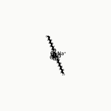 CCCCCCCCCOC(=O)CC(C(=O)OCCCCCCCCC)S(=O)(=O)[O-].[Na+]